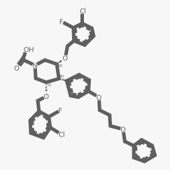 O=C(O)N1C[C@H](OCc2cccc(Cl)c2F)[C@H](c2ccc(OCCCOCc3ccccc3)cc2)[C@H](OCc2cccc(Cl)c2F)C1